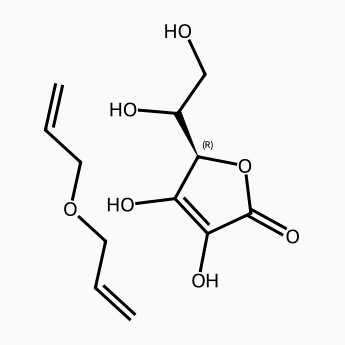 C=CCOCC=C.O=C1O[C@H](C(O)CO)C(O)=C1O